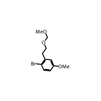 COCOCCc1cc(OC)ccc1Br